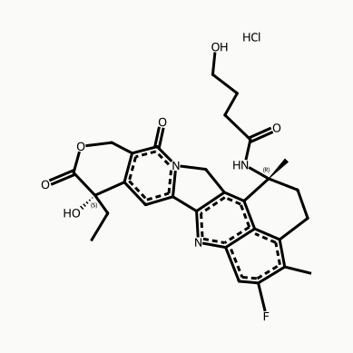 CC[C@@]1(O)C(=O)OCc2c1cc1n(c2=O)Cc2c-1nc1cc(F)c(C)c3c1c2[C@](C)(NC(=O)CCCO)CC3.Cl